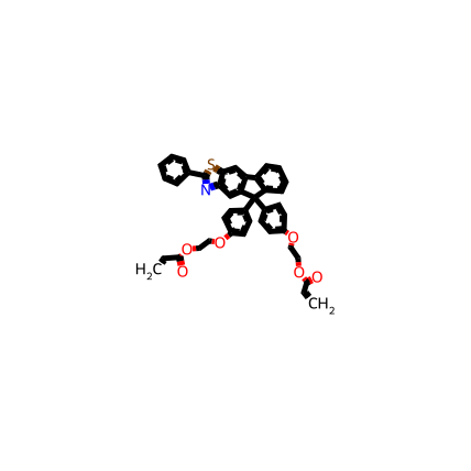 C=CC(=O)OCCOc1ccc(C2(c3ccc(OCCOC(=O)C=C)cc3)c3ccccc3-c3cc4sc(-c5ccccc5)nc4cc32)cc1